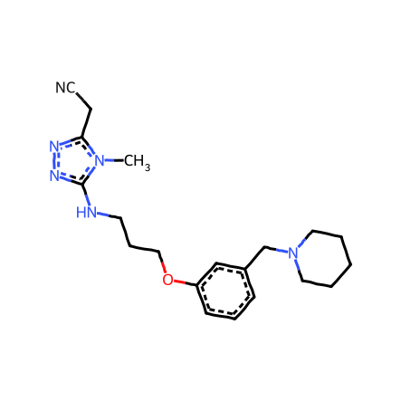 Cn1c(CC#N)nnc1NCCCOc1cccc(CN2CCCCC2)c1